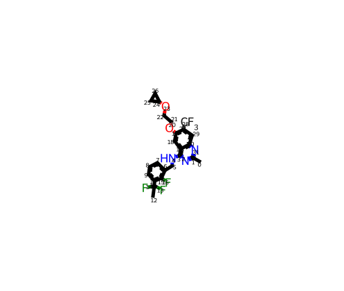 Cc1nc(NCc2cccc(C(C)(F)F)c2F)c2cc(OCCOC3CC3)c(C(F)(F)F)cc2n1